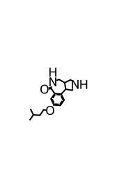 CC(C)CCOc1ccc2c(c1)C(=O)NCC1CNCC21